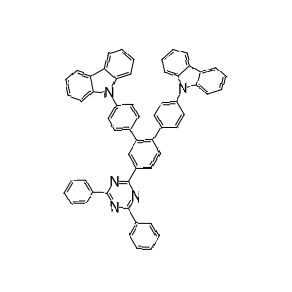 c1ccc(-c2nc(-c3ccccc3)nc(-c3ccc(-c4ccc(-n5c6ccccc6c6ccccc65)cc4)c(-c4ccc(-n5c6ccccc6c6ccccc65)cc4)c3)n2)cc1